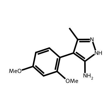 COc1ccc(-c2c(C)n[nH]c2N)c(OC)c1